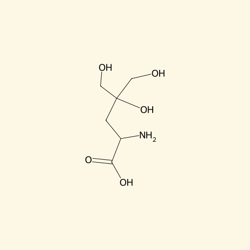 NC(CC(O)(CO)CO)C(=O)O